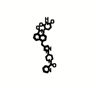 O=C1CCC(N2C(=O)c3cccc4c(Cc5cnn(C6CCN(C(=O)c7ccccn7)CC6)c5)ccc2c34)C(=O)N1